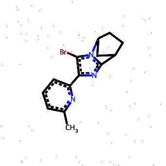 Cc1cccc(-c2nc3n(c2Br)C2CCC3C2)n1